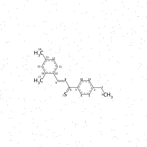 CCc1ccc(C(=S)C=Cc2ccc(C)cc2C)cc1